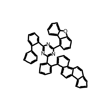 c1ccc(-c2ccccc2-c2nc(-c3ccccc3-c3cccc4c3ccc3c5ccccc5ccc43)nc(-c3cccc4oc5ccccc5c34)n2)cc1